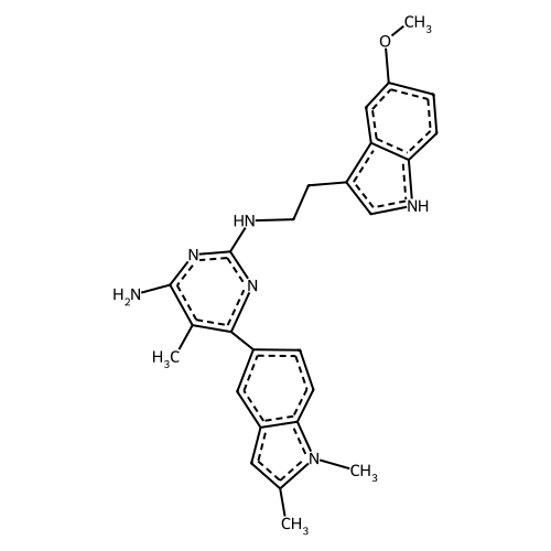 COc1ccc2[nH]cc(CCNc3nc(N)c(C)c(-c4ccc5c(c4)cc(C)n5C)n3)c2c1